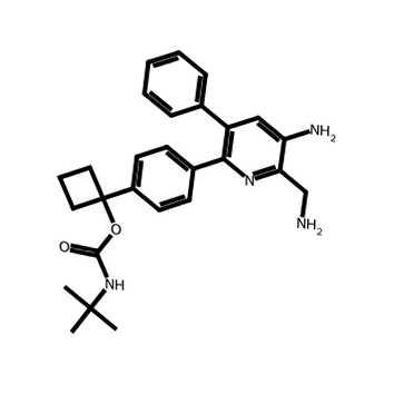 CC(C)(C)NC(=O)OC1(c2ccc(-c3nc(CN)c(N)cc3-c3ccccc3)cc2)CCC1